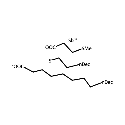 CCCCCCCCCCCCCCCCCC(=O)[O-].CCCCCCCCCCCC[S-].CSCCC(=O)[O-].[Sb+3]